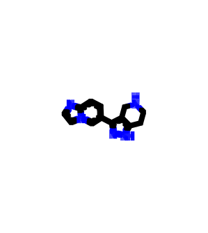 c1cn2cc(-c3n[nH]c4c3CNCC4)ccc2n1